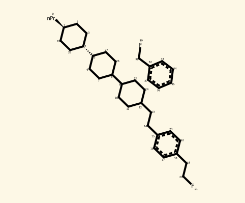 CCC[C@H]1CC[C@H](C2CCC(C3CCC(CCc4ccc(CCF)cc4)CC3)CC2)CC1.FCc1ccccc1